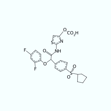 O=C(O)Oc1csc(NC(=O)C(Oc2ccc(F)cc2F)c2ccc(S(=O)(=O)C3CCCC3)cc2)n1